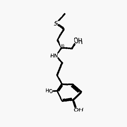 CSCC[C@@H](CO)NCCc1ccc(O)cc1O